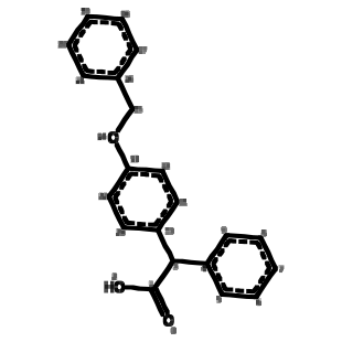 O=C(O)C(c1ccccc1)c1ccc(OCc2ccccc2)cc1